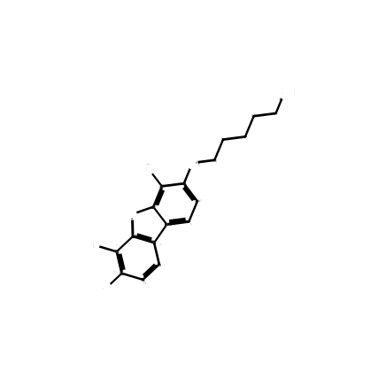 CCCCCCOc1ccc2c(sc3c(F)c(C)ccc32)c1F